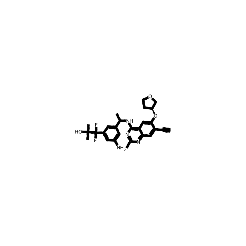 C#Cc1cc2nc(C)nc(NC(C)c3cc(N)cc(C(F)(F)C(C)(C)O)c3)c2cc1O[C@H]1CCOC1